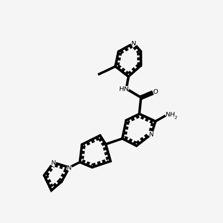 Cc1cnccc1NC(=O)c1cc(-c2ccc(-n3cccn3)cc2)cnc1N